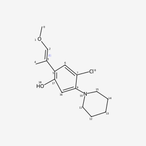 CO/C=C(\C)c1cc(Cl)c(N2CCCCC2)cc1O